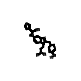 CCOc1ccc(Cc2nc3cc(NC(=N)c4ccsc4)ccc3n2CCN(CC)CC)cc1